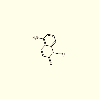 Nc1cccc2c1ccc(=O)n2C(=O)O